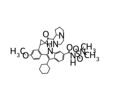 COc1ccc2c(c1)C1CC1(C(=O)C1NCCN3CCCC13)Cn1c-2c(C2CCCCC2)c2ccc(C(=O)NS(=O)(=O)N(C)C)cc21